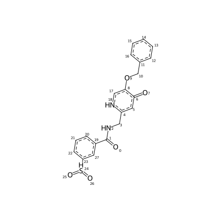 O=C(NCc1cc(=O)c(OCc2ccccc2)c[nH]1)c1cccc([SH](=O)=O)c1